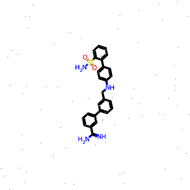 N=C(N)c1cccc(-c2cccc(CNc3ccc(-c4ccccc4S(N)(=O)=O)cc3)c2)c1